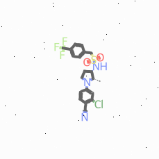 C[C@H]1[C@@H](NS(=O)(=O)Cc2ccc(C(F)(F)F)cc2)CCN1c1ccc(C#N)c(Cl)c1